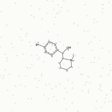 CC(C)c1ccc(C(O)C2CCCCN2C)cc1